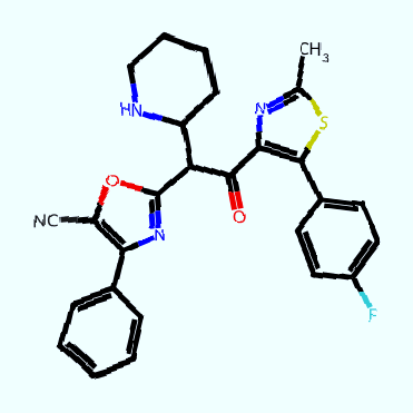 Cc1nc(C(=O)C(c2nc(-c3ccccc3)c(C#N)o2)C2CCCCN2)c(-c2ccc(F)cc2)s1